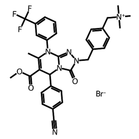 COC(=O)C1=C(C)N(c2cccc(C(F)(F)F)c2)c2nn(Cc3ccc(C[N+](C)(C)C)cc3)c(=O)n2C1c1ccc(C#N)cc1.[Br-]